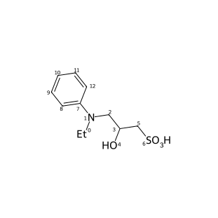 CCN(CC(O)CS(=O)(=O)O)c1ccccc1